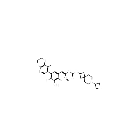 C=N/C(=C\c1cc(-c2cnc3c(c2C)NCCO3)c(F)c(N)c1C)NC(=O)OC1CC2(CCN(C3COC3)CC2)C1